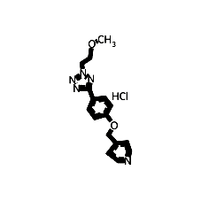 COCCn1nnc(-c2ccc(OCc3ccncc3)cc2)n1.Cl